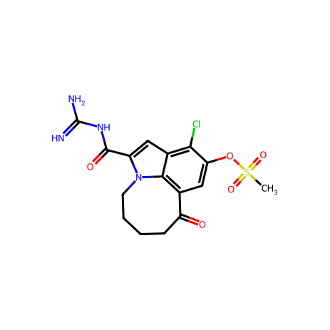 CS(=O)(=O)Oc1cc2c3c(cc(C(=O)NC(=N)N)n3CCCCC2=O)c1Cl